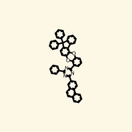 c1ccc(-c2nc(-c3ccc4c(ccc5ccccc54)c3)nc(-c3cccc4c3Oc3ccc5c(c3O4)-c3ccccc3C5(c3ccccc3)c3ccccc3)n2)cc1